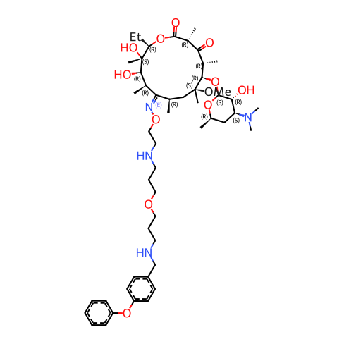 CC[C@H]1OC(=O)[C@H](C)C(=O)[C@H](C)[C@@H](O[C@@H]2O[C@H](C)C[C@H](N(C)C)[C@H]2O)[C@@](C)(OC)C[C@@H](C)/C(=N\OCCNCCCOCCCNCc2ccc(Oc3ccccc3)cc2)[C@@H](C)[C@@H](O)[C@]1(C)O